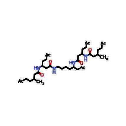 CC(=O)CCC(C)CC(=O)NC(CCC(C)=O)CC(=O)NCCCCC(CC(C)=O)NC(=O)CC(CCC(C)=O)NC(=O)CC(C)CCC(C)=O